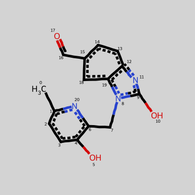 Cc1ccc(O)c(Cn2c(O)nc3ccc(C=O)cc32)n1